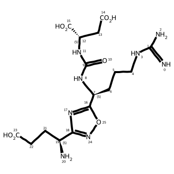 N=C(N)NCCC[C@H](NC(=O)N[C@@H](CC(=O)O)C(=O)O)c1nc([C@@H](N)CCC(=O)O)no1